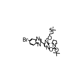 CC(C)(C)OC(=O)N1CCC[C@H]1c1ncc(-c2cnc3cc(Br)ccc3n2)n1COCC[Si](C)(C)C